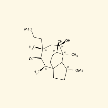 COCC[C@]1(C)C[C@@H](O)[C@@]2(C)C3[C@H](OC)CCC3(CC[C@H]2C)[C@@H](C)C1=O